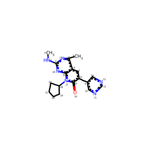 CNc1nc(C)c2cc(-c3cncnc3)c(=O)n(C3CCCC3)c2n1